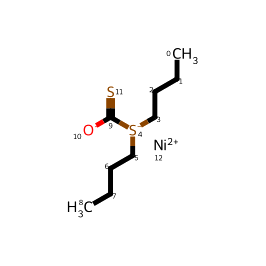 CCCC[S-](CCCC)C([O-])=S.[Ni+2]